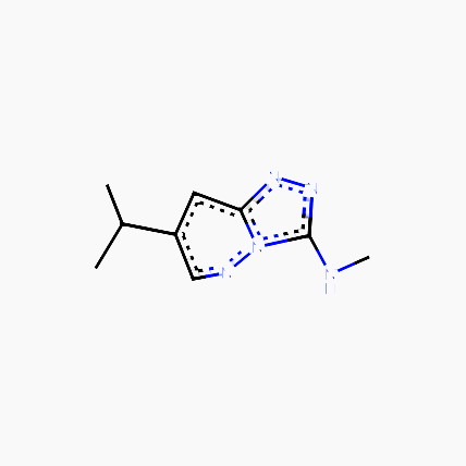 CNc1nnc2cc(C(C)C)cnn12